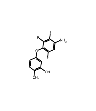 Cc1ccc(Oc2c(F)cc(N)c(I)c2F)cc1C#N